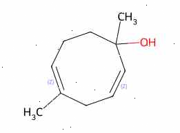 C/C1=C/CCC(C)(O)/C=C\C1